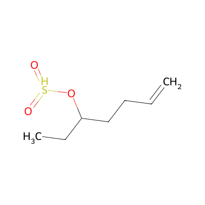 C=CCCC(CC)O[SH](=O)=O